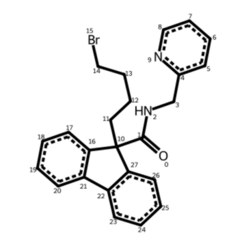 O=C(NCc1ccccn1)C1(CCCCBr)c2ccccc2-c2ccccc21